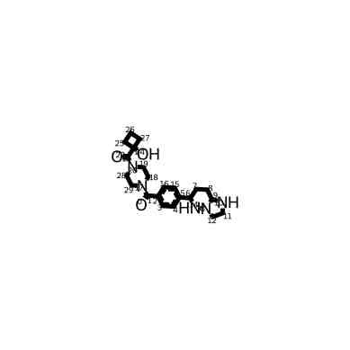 O=C(c1ccc(C2CCC3NCCN3N2)cc1)N1CCN(C(=O)C2(O)CCC2)CC1